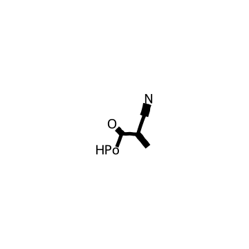 C=C(C#N)[C](=O)[PoH]